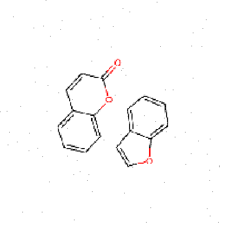 O=c1ccc2ccccc2o1.c1ccc2occc2c1